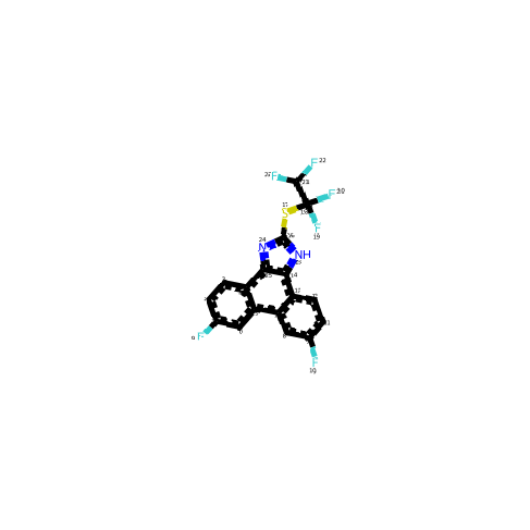 Fc1ccc2c(c1)c1cc(F)ccc1c1[nH]c(SC(F)(F)C(F)F)nc21